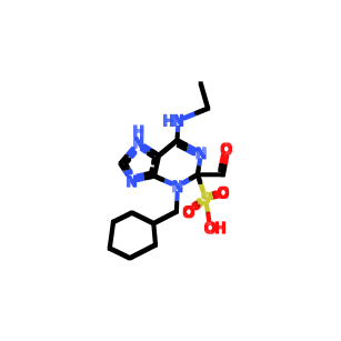 CCNC1=NC(C=O)(S(=O)(=O)O)N(CC2CCCCC2)c2nc[nH]c21